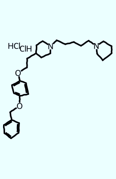 Cl.Cl.c1ccc(COc2ccc(OCCC3CCN(CCCCCN4CCCCC4)CC3)cc2)cc1